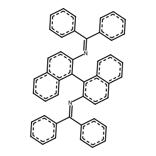 c1ccc(C(=Nc2ccc3ccccc3c2-c2c(N=C(c3ccccc3)c3ccccc3)ccc3ccccc23)c2ccccc2)cc1